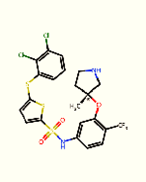 C[C@@]1(Oc2cc(NS(=O)(=O)c3ccc(Sc4cccc(Cl)c4Cl)s3)ccc2C(F)(F)F)CCNC1